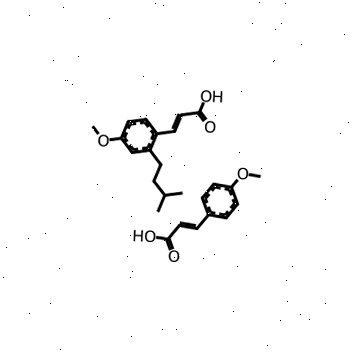 COc1ccc(C=CC(=O)O)c(CCC(C)C)c1.COc1ccc(C=CC(=O)O)cc1